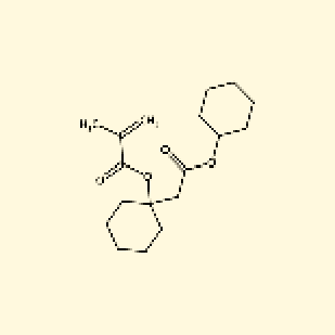 C=C(C)C(=O)OC1(CC(=O)OC2CCCCC2)CCCCC1